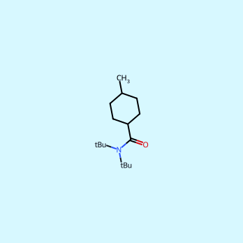 CC1CCC(C(=O)N(C(C)(C)C)C(C)(C)C)CC1